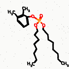 CCCCCCCCOP(=O)(OCCCCCCCC)Oc1cccc(C)c1C